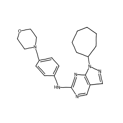 c1cc(N2CCOCC2)ccc1Nc1ncc2cnn(C3CCCCCC3)c2n1